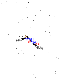 C#Cc1nc(NC(=O)NCC(=O)NC)cs1